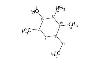 CCC1CC(C)C(O)C(N)C1C